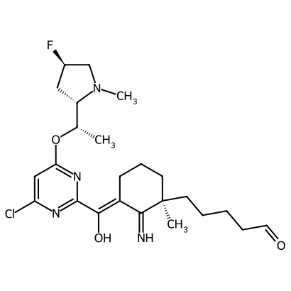 C[C@H](Oc1cc(Cl)nc(/C(O)=C2\CCC[C@@](C)(CCCCC=O)C2=N)n1)[C@@H]1C[C@@H](F)CN1C